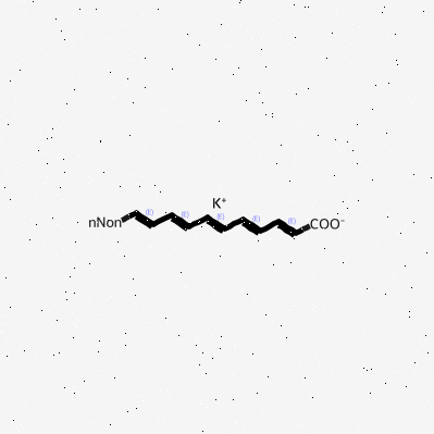 CCCCCCCCC/C=C/C=C/C=C/C=C/C=C/C(=O)[O-].[K+]